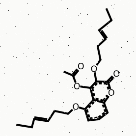 CCC=CCCOc1c(OC(C)=O)c2c(OCCC=CCC)cccc2oc1=O